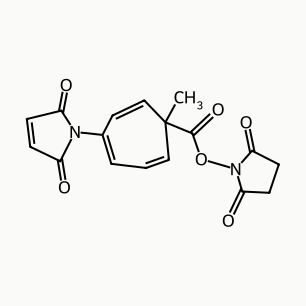 CC1(C(=O)ON2C(=O)CCC2=O)C=CC=C(N2C(=O)C=CC2=O)C=C1